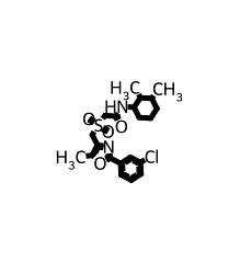 Cc1oc(-c2cccc(Cl)c2)nc1CS(=O)(=O)CC(=O)NC1CCCC(C)C1C